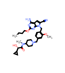 CCCCOc1nc(N)c2cc(C#N)n(Cc3ccc(CN4CCC(N(C)C(=O)[C@@H](O)C5CC5)CC4)cc3OC)c2n1